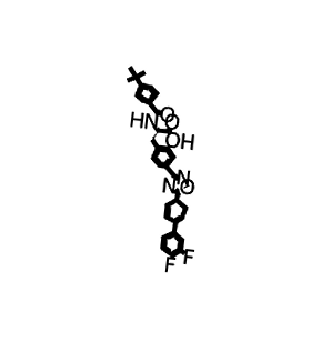 CC(C)(C)c1ccc(C(=O)N[C@@H](Cc2ccc(-c3noc(C4C=CC(c5ccc(F)c(F)c5)=CC4)n3)cc2)C(=O)O)cc1